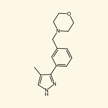 Cc1c[nH]nc1-c1cccc(CN2CCOCC2)c1